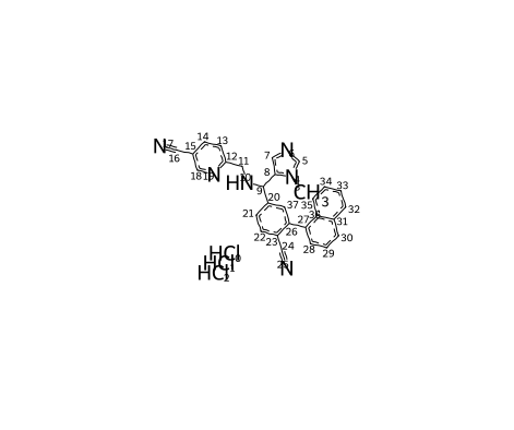 Cl.Cl.Cl.Cn1cncc1C(NCc1ccc(C#N)cn1)c1ccc(C#N)c(-c2cccc3ccccc23)c1